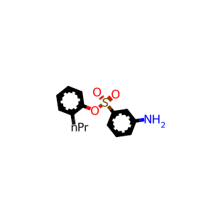 CCCc1ccccc1OS(=O)(=O)c1cccc(N)c1